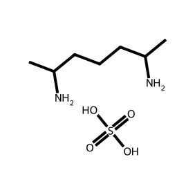 CC(N)CCCC(C)N.O=S(=O)(O)O